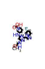 COCCNc1cc(NC2CCCN(C(=O)O)C2)nc(-c2cnc3ccc(F)cn23)n1